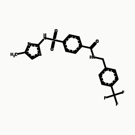 Cc1csc(NS(=O)(=O)c2ccc(C(=O)NCc3ccc(C(F)(F)F)cc3)cc2)n1